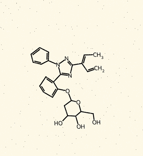 C=C/C(=C\C)c1nc(-c2ccccc2OC2CC(O)C(O)C(CO)O2)n(-c2ccccc2)n1